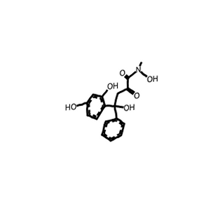 CN(O)C(=O)C(=O)CC(O)(c1ccccc1)c1ccc(O)cc1O